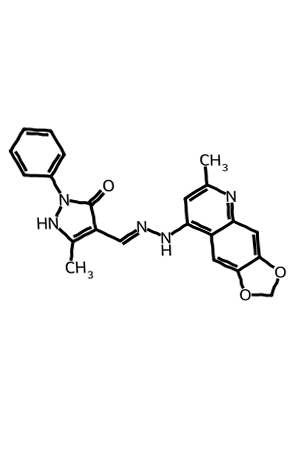 Cc1cc(N/N=C/c2c(C)[nH]n(-c3ccccc3)c2=O)c2cc3c(cc2n1)OCO3